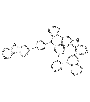 c1cc(-c2ccccc2-c2cccc3ccccc23)cc(N(c2ccc(-c3ccc4c(c3)sc3ccccc34)cc2)c2ccccc2-c2ccc3c(c2)sc2ccccc23)c1